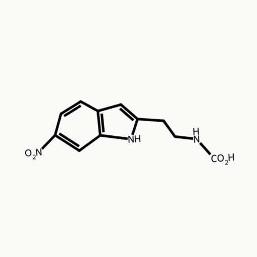 O=C(O)NCCc1cc2ccc([N+](=O)[O-])cc2[nH]1